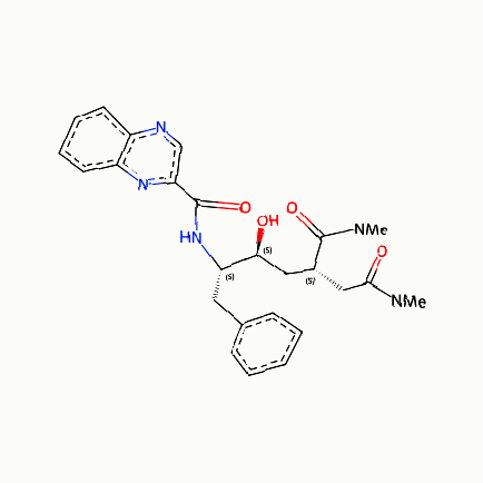 CNC(=O)C[C@H](C[C@H](O)[C@H](Cc1ccccc1)NC(=O)c1cnc2ccccc2n1)C(=O)NC